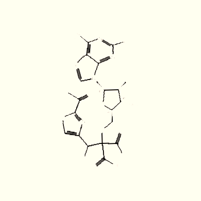 CC(c1csc(C(=O)O)n1)C(OC[C@H]1O[C@@H](n2cnc3c(N)nc(Cl)nc32)[C@@H](F)[C@@H]1O)(C(=O)O)C(=O)O